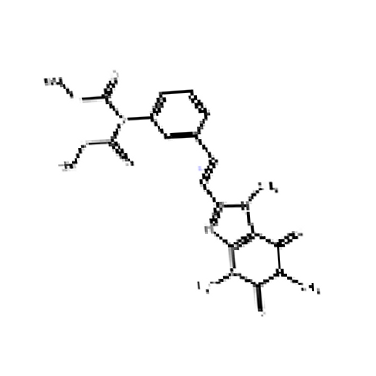 Cn1c(=O)c2c(nc(/C=C/c3cccc(N(C(=O)OC(C)(C)C)C(=O)OC(C)(C)C)c3)n2C)n(C)c1=O